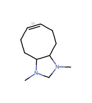 CN1CN(C)C2CC/C=C\CCC21